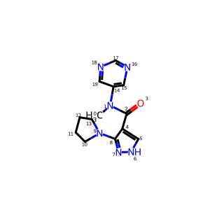 CN(C(=O)c1c[nH]nc1N1CCCC1)c1cncnc1